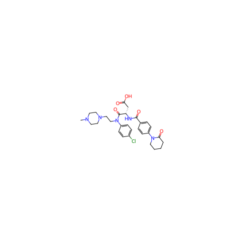 CN1CCN(CCN(C(=O)[C@H](CC(=O)O)NC(=O)c2ccc(N3CCCCC3=O)cc2)c2ccc(Cl)cc2)CC1